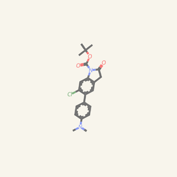 CN(C)c1ccc(-c2cc3c(cc2Cl)N(C(=O)OC(C)(C)C)C(=O)C3)cc1